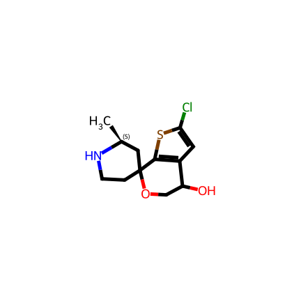 C[C@H]1CC2(CCN1)OCC(O)c1cc(Cl)sc12